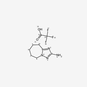 Nc1nc2n(n1)CCCCC2.O=C(O)C(F)(F)F